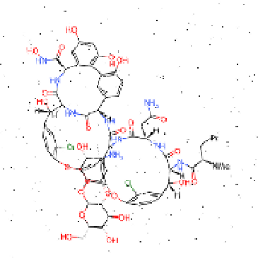 CN[C@H](CC(C)C)C(=O)N[C@H]1C(=O)N[C@@H](CC(N)=O)C(=O)NC2C(=O)N[C@@H]3C(=O)N[C@H](C(=O)N[C@@H](C(=O)NO)c4cc(O)cc(O)c4-c4cc3ccc4O)[C@@H](O)c3ccc(c(Cl)c3)Oc3cc2cc(c3OC2O[C@@H](CO)[C@@H](O)[C@H](O)[C@H]2O[C@H]2C[C@](C)(N)[C@@H](O)[C@@H](C)O2)Oc2ccc(cc2Cl)[C@H]1O